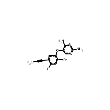 CC#Cc1cc(Oc2cnc(N)nc2N)c(C(C)C)cc1F